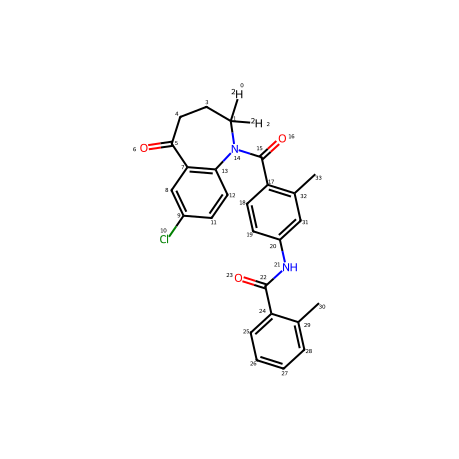 [2H]C1([2H])CCC(=O)c2cc(Cl)ccc2N1C(=O)c1ccc(NC(=O)c2ccccc2C)cc1C